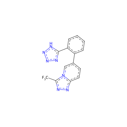 FC(F)(F)c1nnc2ccc(-c3ccccc3-c3nnn[nH]3)cn12